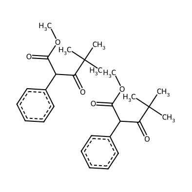 COC(=O)C(C(=O)C(C)(C)C)c1ccccc1.COC(=O)C(C(=O)C(C)(C)C)c1ccccc1